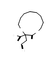 C=CCC1(C(=O)O)CCCCCCCCCCC1=O